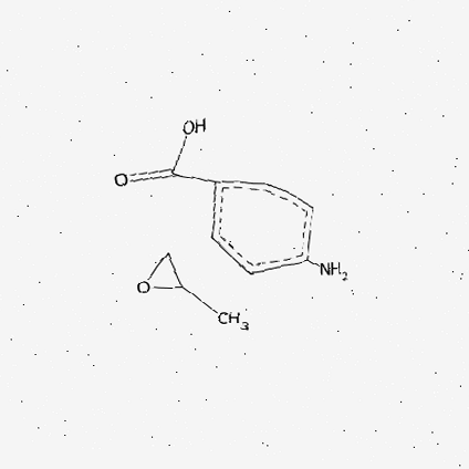 CC1CO1.Nc1ccc(C(=O)O)cc1